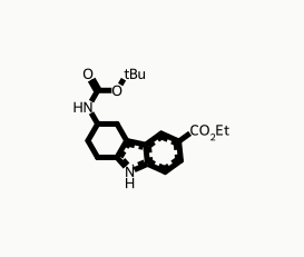 CCOC(=O)c1ccc2[nH]c3c(c2c1)CC(NC(=O)OC(C)(C)C)CC3